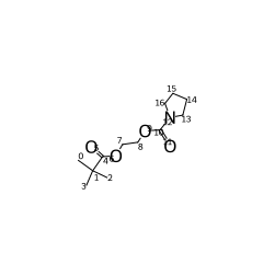 CC(C)(C)C(=O)OCCOC(=O)N1CCCC1